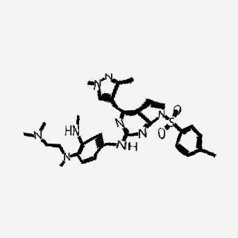 CNc1cc(Nc2nc(-c3cn(C)nc3C)c3ccn(S(=O)(=O)c4ccc(C)cc4)c3n2)ccc1N(C)CCN(C)C